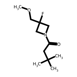 COCC1(F)CN(C(=O)CC(C)(C)C)C1